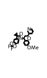 COc1ccc2c(c1)OC(c1cccnc1)CC2NC(=O)C1(c2ccc3c(c2)OC(F)(F)O3)CC1